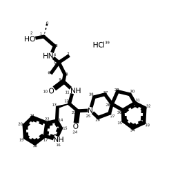 C[C@@H](O)CNC(C)(C)CC(=O)N[C@H](Cc1c[nH]c2ccccc12)C(=O)N1CCC2(CCc3ccccc32)CC1.Cl